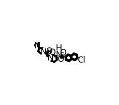 CN(C)C1CCN(C(=O)CN2CCC[C@H](NS(=O)(=O)c3ccc4cc(Cl)ccc4c3)C2=O)C1